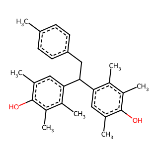 Cc1ccc(CC(c2cc(C)c(O)c(C)c2C)c2cc(C)c(O)c(C)c2C)cc1